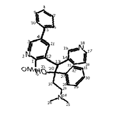 COc1ncc(-c2ccccc2)cc1C(c1cccnc1)C(O)(CCN(C)C)c1ccccc1